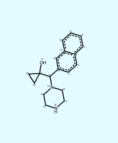 OC1(C(c2ccc3ccccc3c2)N2CCNCC2)CC1